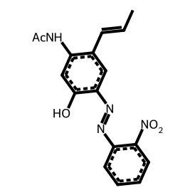 CC=Cc1cc(N=Nc2ccccc2[N+](=O)[O-])c(O)cc1NC(C)=O